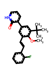 COc1c(/C=C/c2ccccc2F)cc(-c2ccc[nH]c2=O)cc1C(C)(C)C